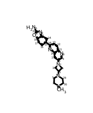 CN1CCN(C2CN(c3cnc4ccc(-c5ccc6oc(N)nc6c5)nc4c3)C2)CC1